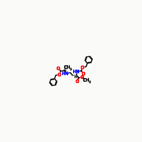 COC(=O)[C@H](CCN[C@@H](C)C(=O)OCc1ccccc1)NC(=O)OCc1ccccc1